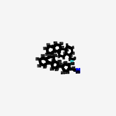 CCC1CC=CC2=C1CCc1c2ccc2ccccc12.N#Cc1ccc(-c2ccc3c(ccc4ccccc43)c2)cc1F